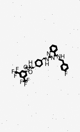 O=S(=O)(NC[C@H]1CC[C@H](CNc2nc(NCCc3ccc(F)cc3)c3ccccc3n2)CC1)c1cc(C(F)(F)F)cc(C(F)(F)F)c1